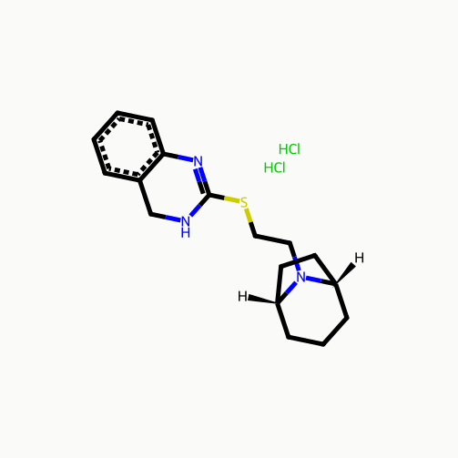 Cl.Cl.c1ccc2c(c1)CNC(SCCN1[C@@H]3CCC[C@H]1CC3)=N2